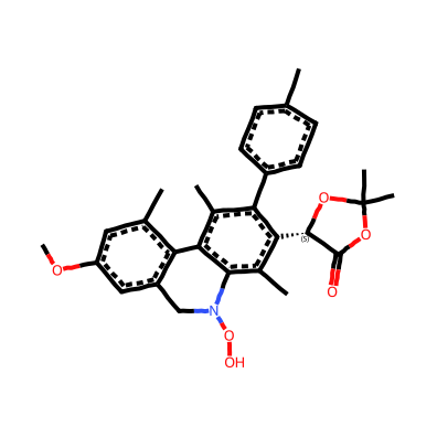 COc1cc(C)c2c(c1)CN(OO)c1c(C)c([C@@H]3OC(C)(C)OC3=O)c(-c3ccc(C)cc3)c(C)c1-2